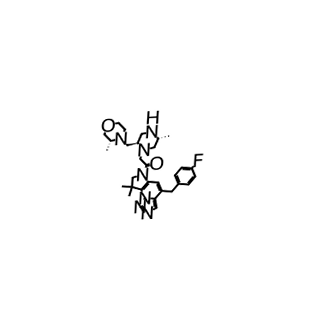 C[C@@H]1CN(CC(=O)N2CC(C)(C)c3c2cc(Cc2ccc(F)cc2)c2cnnn32)[C@@H](CN2CCOC[C@H]2C)CN1